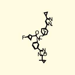 Cn1nc(C2CC2)cc1C12CCC(CN(C(=O)C34CC(F)(C3)C4)c3cccc(-c4noc(C5(C)CC5)n4)c3)(CC1)CC2